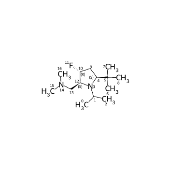 CC(C)N1[C@H](C(C)(C)C)C[C@@H](F)[C@@H]1CN(C)C